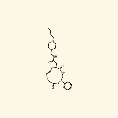 CCCCN1CCC(CNC(=O)C[C@@H]2C/C=C/CCC(=O)O[C@H](c3ccccc3)CNC2=O)CC1